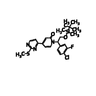 CSc1nccc(-c2ccn(C(CO[Si](C)(C)C(C)(C)C)c3ccc(Cl)c(F)c3)c(=O)c2)n1